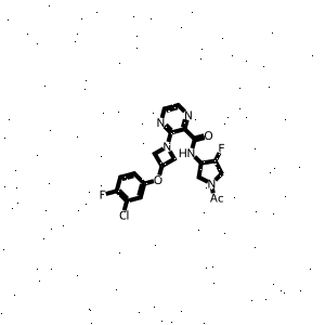 CC(=O)N1CC(F)C(NC(=O)c2nccnc2N2CC(Oc3ccc(F)c(Cl)c3)C2)C1